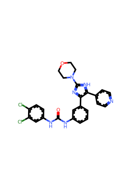 O=C(Nc1cccc(-c2nc(N3CCOCC3)[nH]c2-c2ccncc2)c1)Nc1ccc(Cl)c(Cl)c1